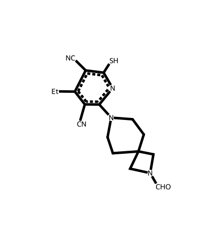 CCc1c(C#N)c(S)nc(N2CCC3(CC2)CN(C=O)C3)c1C#N